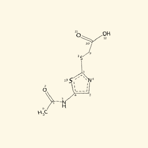 CC(=O)Nc1cnc(SCC(=O)O)s1